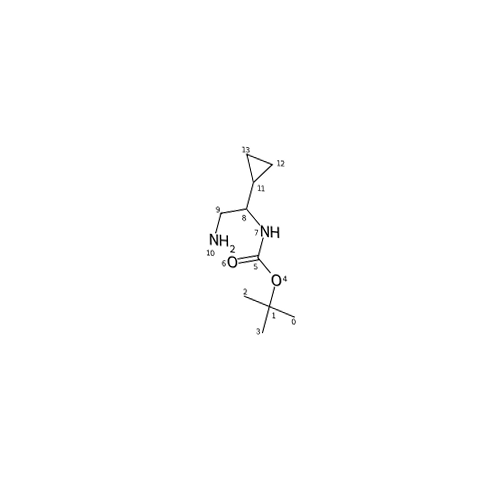 CC(C)(C)OC(=O)NC(CN)C1CC1